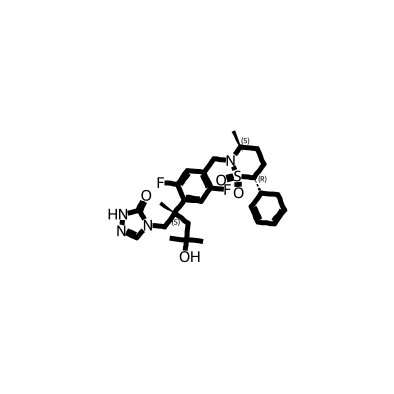 C[C@H]1CC[C@H](C2C=CC=CC2)S(=O)(=O)N1Cc1cc(F)c([C@@](C)(Cn2cn[nH]c2=O)CC(C)(C)O)cc1F